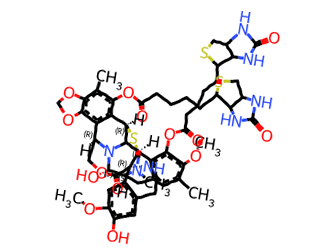 COc1cc2c(cc1O)CCN[C@]21CS[C@@H]2c3c(OC(=O)CCCCC4SCC5NC(=O)NC54)c(C)c4c(c3[C@H](COC1=O)N1C2[C@H]2c3c(cc(C)c(OC)c3OC(=O)CCCCC3SCC5NC(=O)NC53)C[C@@H]([C@@H]1O)N2C)OCO4